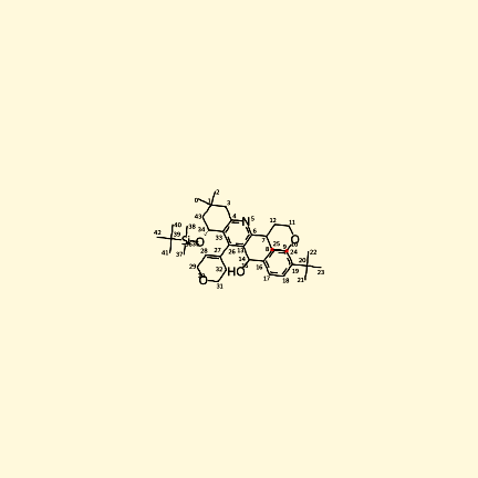 CC1(C)Cc2nc(C3CCOCC3)c(C(O)c3ccc(C(C)(C)C)cc3)c(C3=CCOCC3)c2[C@H](O[Si](C)(C)C(C)(C)C)C1